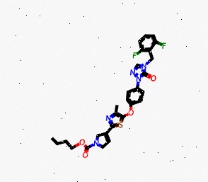 CCCCOC(=O)N1CC=C(c2nc(C)c(Oc3ccc(-n4ncn(Cc5c(F)cccc5F)c4=O)cc3)s2)C1